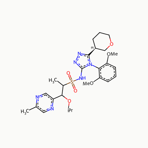 COc1cccc(OC)c1-n1c(NS(=O)(=O)C(C)C(OC(C)C)c2cnc(C)cn2)nnc1[C@H]1CCCOC1